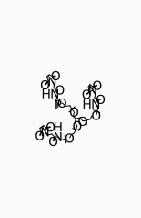 CP(CCNC(=O)CCN1C(=O)C=CC1=O)OCCC(C)(C)OCC(COC(C)(C)CCOC(C)(C)CNC(=O)CCN1C(=O)C=CC1=O)COC(C)(C)CCOC(C)(C)CNC(=O)CCN1C(=O)C=CC1=O